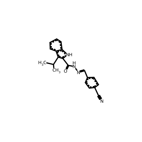 CC(C)c1c(C(=O)NN=Cc2ccc(C#N)cc2)[nH]c2ccccc12